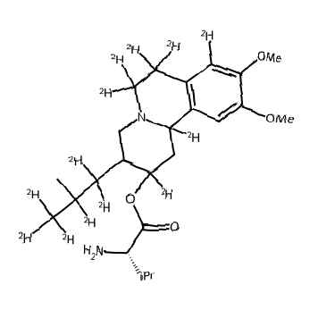 [2H]c1c(OC)c(OC)cc2c1C([2H])([2H])C([2H])([2H])N1CC(C([2H])([2H])C([2H])(C)C([2H])([2H])[2H])C([2H])(OC(=O)[C@@H](N)C(C)C)CC21[2H]